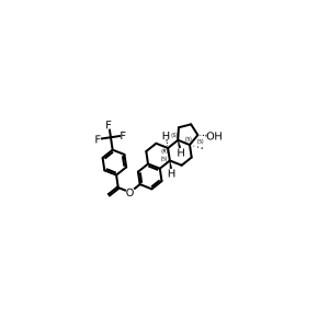 C=C(Oc1ccc2c(c1)CC[C@@H]1[C@@H]2CC[C@]2(C)[C@@H](O)CC[C@@H]12)c1ccc(C(F)(F)F)cc1